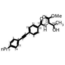 CCCc1ccc(C#Cc2ccc(C(=O)N[C@H](C(=O)OC)[C@@H](C)O)cc2)cc1